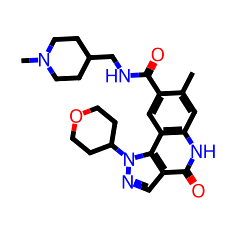 Cc1cc2[nH]c(=O)c3cnn(C4CCOCC4)c3c2cc1C(=O)NCC1CCN(C)CC1